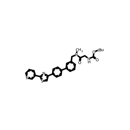 CN(Cc1cccc(-c2ccc(-c3csc(-c4cccnc4)n3)cc2)c1)C(=O)CNC(=O)OC(C)(C)C